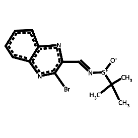 CC(C)(C)[S+]([O-])N=Cc1nc2ccccc2nc1Br